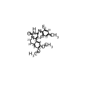 COc1cc2c(cc1OC)-c1c/c(=N\c3c(F)cc(C)cc3F)[nH]c(=O)n1CC2